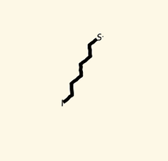 [S]CCCCCCI